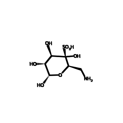 NC[C@H]1O[C@H](O)[C@H](O)[C@@H](O)[C@@]1(O)S(=O)(=O)O